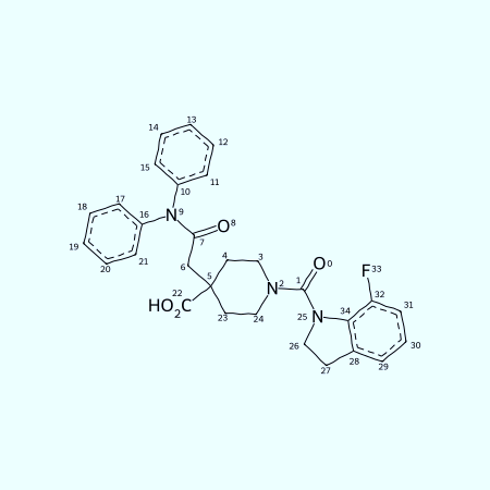 O=C(N1CCC(CC(=O)N(c2ccccc2)c2ccccc2)(C(=O)O)CC1)N1CCc2cccc(F)c21